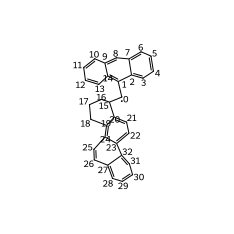 [CH](c1c2ccccc2cc2ccccc12)C1CCCc2c1ccc1c2ccc2ccccc21